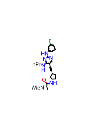 CCCNc1nc(Nc2cccc(F)c2)ncc1C#C[C@@H]1CC[C@H](NC(=O)[C@H](C)NC)C1